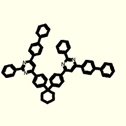 c1ccc(-c2ccc(-c3cc(-c4ccc(C5(c6ccc(-c7cc(-c8ccc(-c9ccccc9)cc8)nc(-c8ccccc8)n7)cc6)CCCCC5)cc4)nc(-c4ccccc4)n3)cc2)cc1